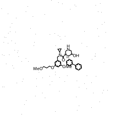 COCCCOc1cc(CN(C(=O)[C@H]2CNC[C@@H](O)[C@@H]2c2cccc(-c3ccccc3)c2)C2CC2)cc(OC)c1